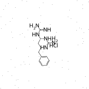 Cl.N=C(N)NC(CCCc1ccccc1)NC(=N)N